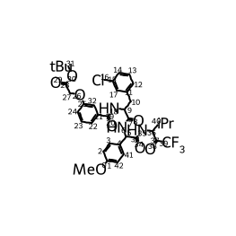 COc1ccc(C(NC(=O)C(Cc2cccc(Cl)c2)NC(=O)c2cccc(OCC(=O)OC(C)(C)C)c2)C(=O)NC(C(=O)C(F)(F)F)C(C)C)cc1